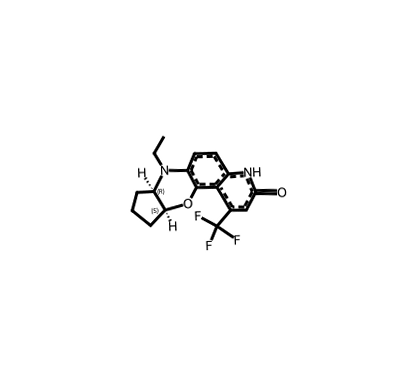 CCN1c2ccc3[nH]c(=O)cc(C(F)(F)F)c3c2O[C@H]2CCC[C@H]21